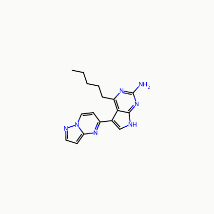 CCCCCc1nc(N)nc2[nH]cc(-c3ccn4nccc4n3)c12